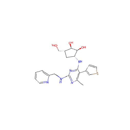 Cc1nc(NCc2ccccn2)nc(N[C@@H]2C[C@H](CO)[C@@H](O)[C@H]2O)c1-c1ccsc1